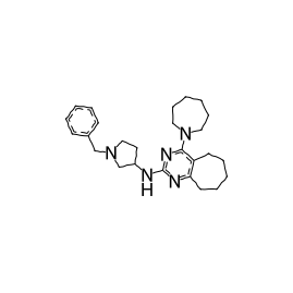 c1ccc(CN2CCC(Nc3nc4c(c(N5CCCCCC5)n3)CCCCC4)C2)cc1